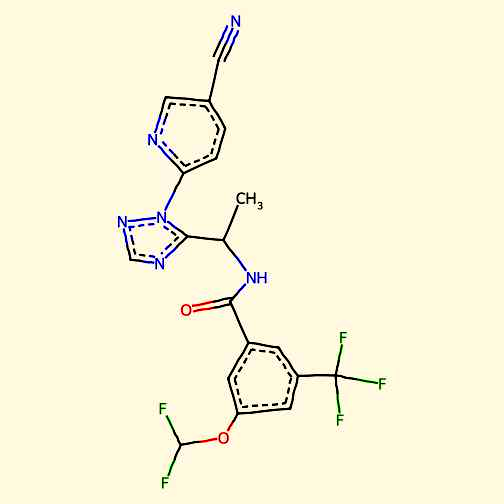 CC(NC(=O)c1cc(OC(F)F)cc(C(F)(F)F)c1)c1ncnn1-c1ccc(C#N)cn1